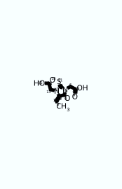 C/C=C1\C(=O)N(CC(=O)O)C(=S)N1CC(=O)O